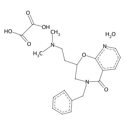 CN(C)CCC1CN(Cc2ccccc2)C(=O)c2cccnc2O1.O.O=C(O)C(=O)O